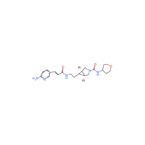 Nc1ccc(/C=C/C(=O)NCCC2[C@H]3CN(C(=O)NC4CCOCC4)C[C@@H]23)cn1